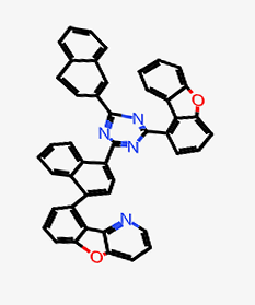 c1ccc2cc(-c3nc(-c4ccc(-c5cccc6oc7cccnc7c56)c5ccccc45)nc(-c4cccc5oc6ccccc6c45)n3)ccc2c1